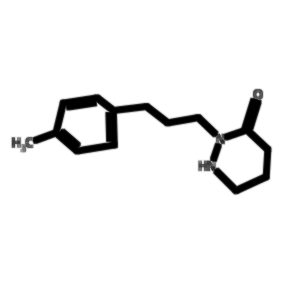 Cc1ccc(CCCN2NCCCC2=O)cc1